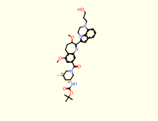 COc1cc(C(=O)N2C[C@H](F)C[C@@H](NC(=O)OC(C)(C)C)C2)cc2c1CCC(OC)C(c1cc3cccc4c3n1CCN4CCCO)=N2